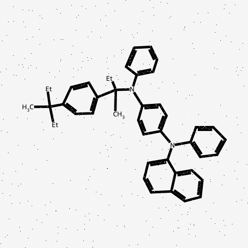 CCC(C)(CC)c1ccc(C(C)(CC)N(c2ccccc2)c2ccc(N(c3ccccc3)c3cccc4ccccc34)cc2)cc1